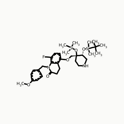 COc1ccc(CN2C(=O)CCc3c(OC[C@]4(O[Si](C)(C)C)CCNC[C@H]4O[Si](C)(C)C(C)(C)C)ccc(F)c32)cc1